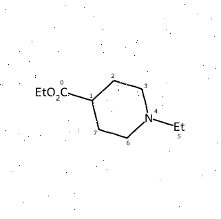 CCOC(=O)C1CCN(CC)CC1